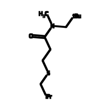 CC(C)CSCCC(=O)N(C)CC(C)(C)C